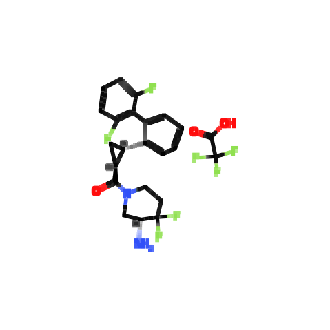 N[C@@H]1CN(C(=O)[C@H]2C[C@@H]2c2ccccc2-c2c(F)cccc2F)CCC1(F)F.O=C(O)C(F)(F)F